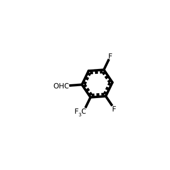 O=Cc1cc(F)cc(F)c1C(F)(F)F